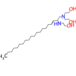 CCCCCCCCCCCCCCCCC=CC(CN(CCO)CCO)NCCO